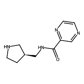 O=C(NC[C@H]1CCNC1)c1cnccn1